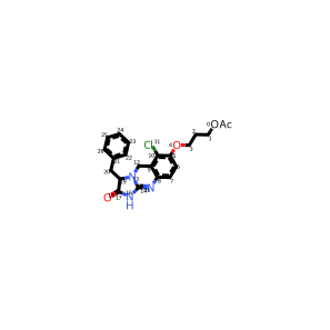 CC(=O)OCCCOc1ccc2c(c1Cl)CN1C(=N2)NC(=O)C1Cc1ccccc1